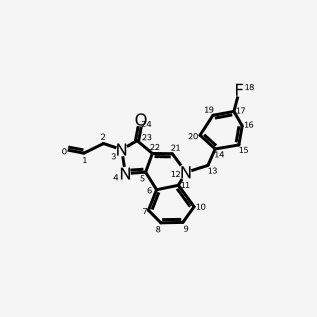 C=CCn1nc2c3ccccc3n(Cc3ccc(F)cc3)cc-2c1=O